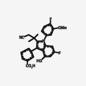 COc1cc(-n2c(C(C)(C)CC#N)c(-c3cccc(C(=O)O)c3)c3c(O)cc(F)cc32)ccc1F